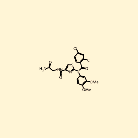 COc1ccc(N(C(=O)c2ccc(Cl)cc2Cl)c2nc(C(=O)NCC(N)=O)cs2)cc1OC